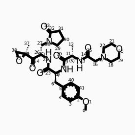 COc1ccc(C[C@H](NC(=O)[C@H](C)NC(=O)CN2CCOCC2)C(=O)N[C@@H](CN2CCCC2=O)C(=O)[C@]2(C)CO2)cc1